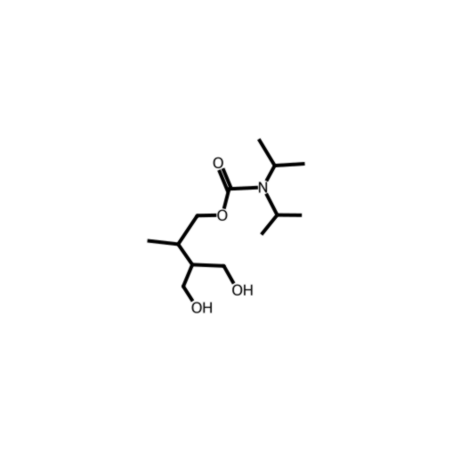 CC(COC(=O)N(C(C)C)C(C)C)C(CO)CO